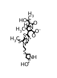 CSc1c2sc(C3=C(C(=O)[O-])N4C(=O)[C@H]([C@@H](C)O)[C@H]4[C@H]3C)c[n+]2cn1CCS[C@@H]1CN[C@H](CO)C1